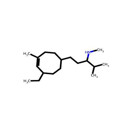 CCC1/C=C(/C)CCC(CCC(NC)C(C)C)CC1